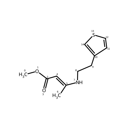 COC(=O)C=C(C)NCCc1ccsc1